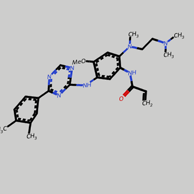 C=CC(=O)Nc1cc(Nc2ncnc(-c3ccc(C)c(C)c3)n2)c(OC)cc1N(C)CCN(C)C